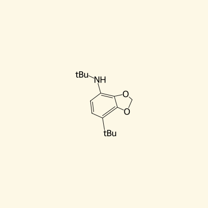 CC(C)(C)Nc1ccc(C(C)(C)C)c2c1OCO2